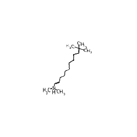 C[SiH](C)/C=C/CCCCCCCCC(C)(C)C